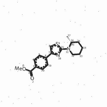 COC(=O)c1ccc(-c2csc(N3CCCC[C@H]3C)n2)cc1